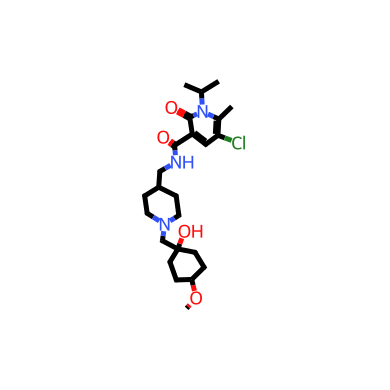 COC1CCC(O)(CN2CCC(CNC(=O)c3cc(Cl)c(C)n(C(C)C)c3=O)CC2)CC1